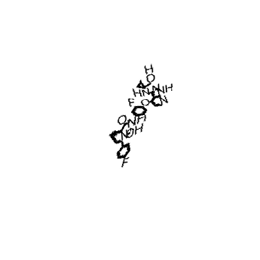 O=C(Nc1ccc(Oc2ccnc3[nH]nc(NC4(CO)CC4)c23)c(F)c1)c1cccc(-c2ccc(F)cc2)[n+]1O